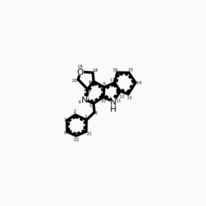 c1ccc(Cc2nc3c(c4c2[nH]c2ccccc24)COC3)cc1